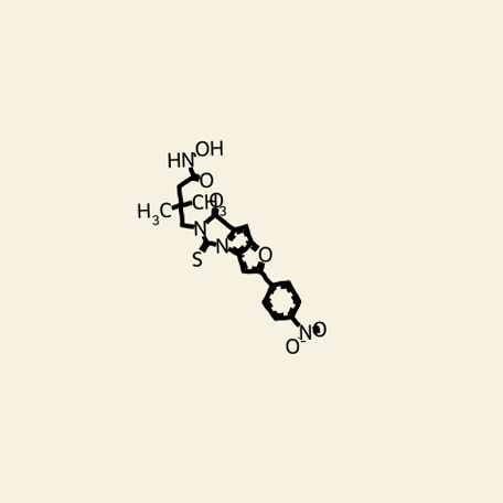 CC(C)(CC(=O)NO)CN1C(=O)c2cc3oc(-c4ccc([N+](=O)[O-])cc4)cc3n2C1=S